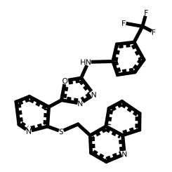 FC(F)(F)c1cccc(Nc2nnc(-c3cccnc3SCc3ccnc4ccccc34)o2)c1